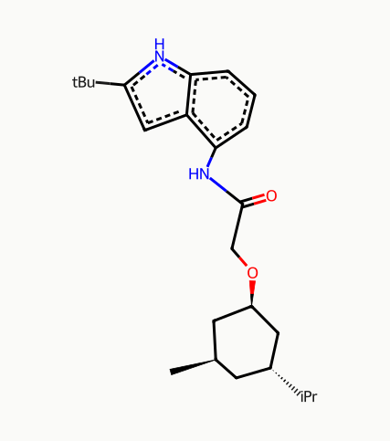 CC(C)[C@@H]1C[C@@H](C)C[C@@H](OCC(=O)Nc2cccc3[nH]c(C(C)(C)C)cc23)C1